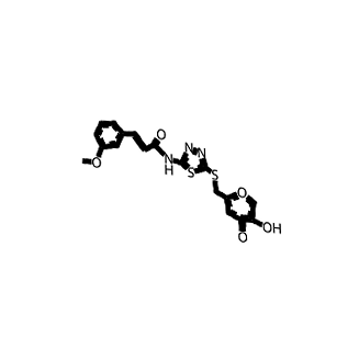 COc1cccc(/C=C/C(=O)Nc2nnc(SCc3cc(=O)c(O)co3)s2)c1